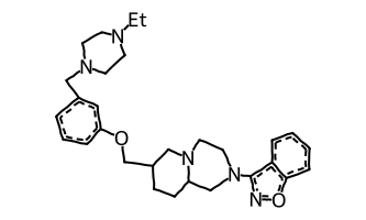 CCN1CCN(Cc2cccc(OCC3CCC4CN(c5noc6ccccc56)CCN4C3)c2)CC1